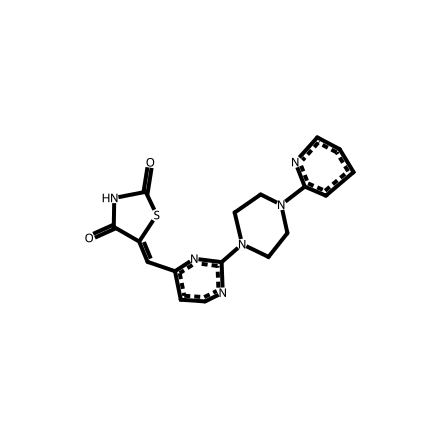 O=C1NC(=O)C(=Cc2ccnc(N3CCN(c4ccccn4)CC3)n2)S1